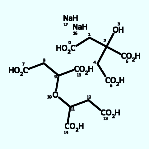 O=C(O)CC(O)(CC(=O)O)C(=O)O.O=C(O)CC(OC(CC(=O)O)C(=O)O)C(=O)O.[NaH].[NaH]